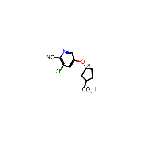 N#Cc1ncc(O[C@@H]2CCC(C(=O)O)C2)cc1Cl